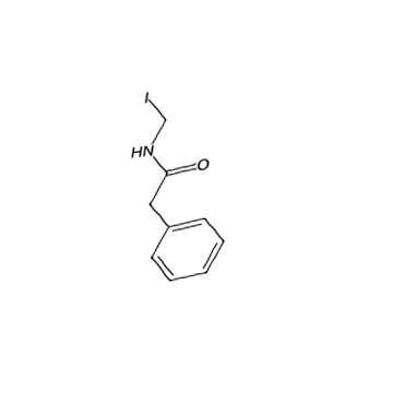 O=C(Cc1ccccc1)NCI